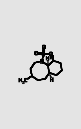 CC1CC[C@@H]2CCC[C@@H]3OS(=O)(=O)N(CC1)[C@H]23